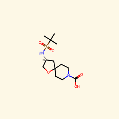 CC(C)(C)S(=O)(=O)N[C@H]1COC2(CCN(C(=O)O)CC2)C1